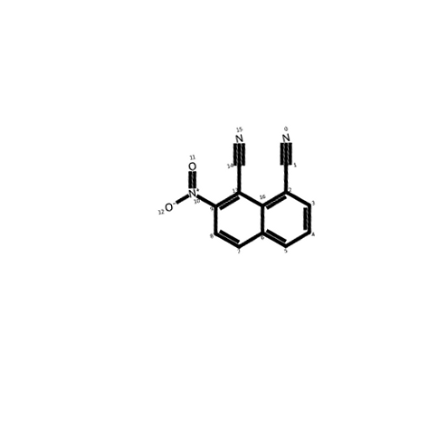 N#Cc1cccc2ccc([N+](=O)[O-])c(C#N)c12